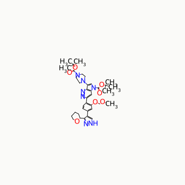 COCOc1cc(-c2c[nH]nc2C2CCCCO2)ccc1-c1cc2c(nn1)c(N1CCN(C(=O)OC(C)(C)C)CC1)cn2C(=O)OC(C)(C)C